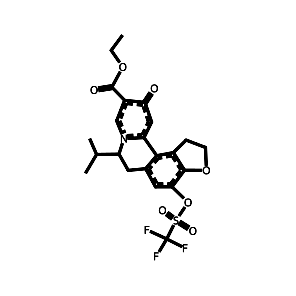 CCOC(=O)c1cn2c(cc1=O)-c1c(cc(OS(=O)(=O)C(F)(F)F)c3c1CCO3)CC2C(C)C